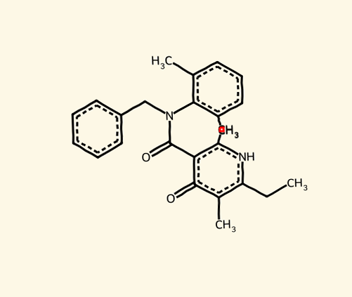 CCc1[nH]c(C)c(C(=O)N(Cc2ccccc2)c2c(C)cccc2C)c(=O)c1C